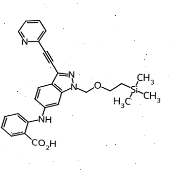 C[Si](C)(C)CCOCn1nc(C#Cc2ccccn2)c2ccc(Nc3ccccc3C(=O)O)cc21